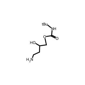 CC(C)(C)NC(=O)OCC(O)CCN